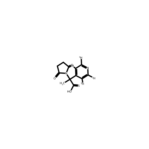 [2H]c1nc([2H])c([2H])c(C(C)(C(O)=S)N2C(=O)CCC2=O)c1[2H]